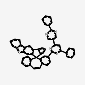 C1=Cc2ccc(-c3nc(-c4ccccc4)cc(-c4cnc(-c5ccccc5)nc4)n3)cc2C2(c3ccccc31)c1ccccc1-c1cc3c(cc12)sc1ccccc13